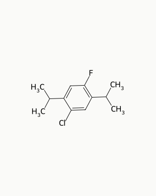 CC(C)c1cc(Cl)c(C(C)C)cc1F